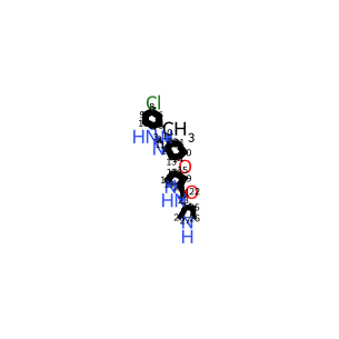 Cn1c(Nc2ccc(Cl)cc2)nc2cc(Oc3ccnc(C(=O)N[C@H]4CCNC4)c3)ccc21